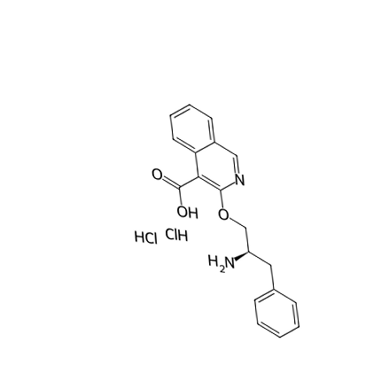 Cl.Cl.N[C@@H](COc1ncc2ccccc2c1C(=O)O)Cc1ccccc1